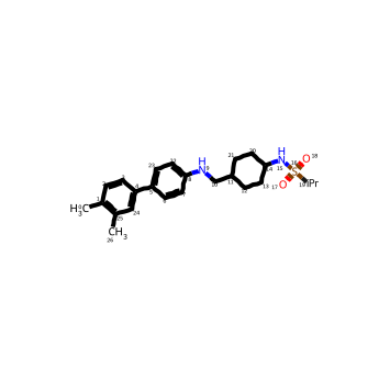 Cc1ccc(-c2ccc(NCC3CCC(NS(=O)(=O)C(C)C)CC3)cc2)cc1C